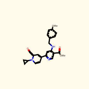 COC(=O)c1cnc(C2=CC(=C=O)N(C3CC3)C=C2)cc1NCc1ccc(OC)cc1